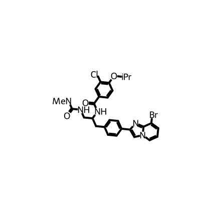 CNC(=O)NCC(Cc1ccc(-c2cn3cccc(Br)c3n2)cc1)NC(=O)c1ccc(OC(C)C)c(Cl)c1